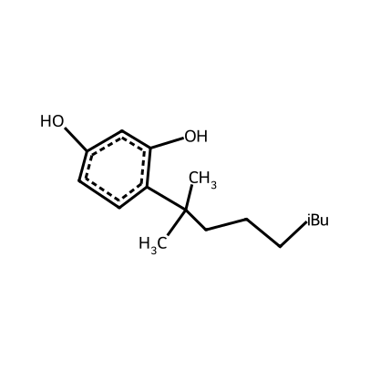 [CH2]CC(C)CCCC(C)(C)c1ccc(O)cc1O